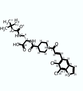 CC(C)(C)OC(=O)NC[C@H](NC(=O)C1CCN(C(=O)/C=C/c2cc3ccsc3c(Cl)c2Cl)CC1)C(=O)O